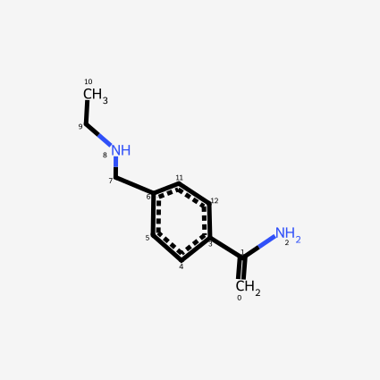 C=C(N)c1ccc(CNCC)cc1